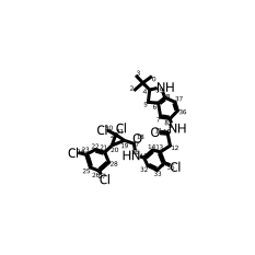 CC(C)(C)C1Cc2cc(NC(=O)Cc3cc(NC(=O)C4C(c5cc(Cl)cc(Cl)c5)C4(Cl)Cl)ccc3Cl)ccc2N1